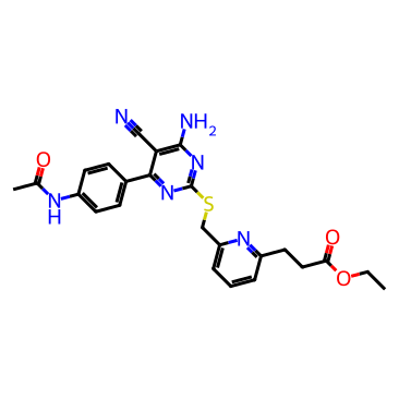 CCOC(=O)CCc1cccc(CSc2nc(N)c(C#N)c(-c3ccc(NC(C)=O)cc3)n2)n1